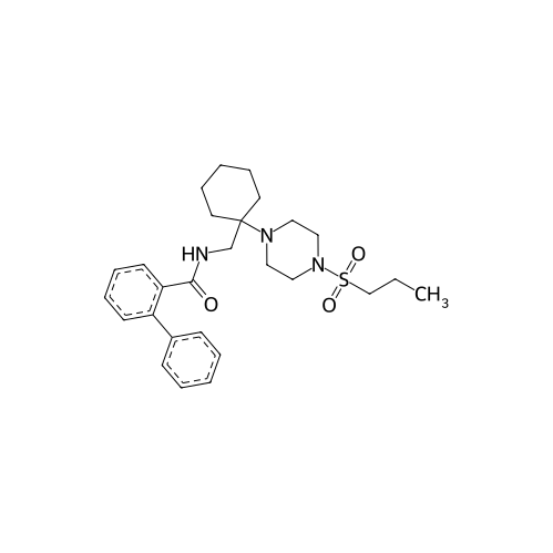 CCCS(=O)(=O)N1CCN(C2(CNC(=O)c3ccccc3-c3ccccc3)CCCCC2)CC1